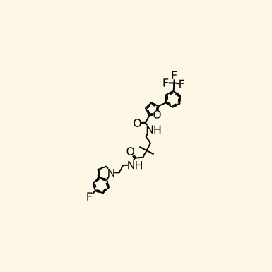 CC(C)(CCNC(=O)c1ccc(-c2cccc(C(F)(F)F)c2)o1)CC(=O)NCCN1CCc2cc(F)ccc21